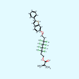 C=C(C)C(=O)OCCC(F)(F)C(F)(F)C(F)(F)C(F)(F)CCOc1ccc2cc(-c3ccccc3)sc2c1